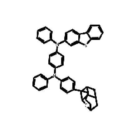 c1ccc(N(c2ccc(C3CCC4CC5CC(C4)CC3C5)cc2)c2ccc(N(c3ccccc3)c3ccc4c(c3)sc3ccccc34)cc2)cc1